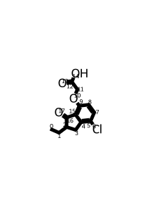 CCC1Cc2c(Cl)ccc(OCC(=O)O)c2C1=O